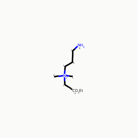 CCOC(=O)C[N+](C)(C)CCCN